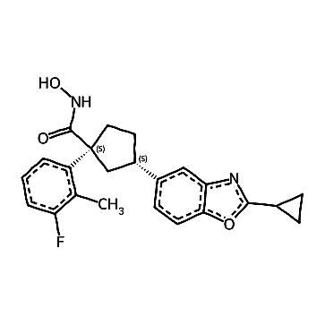 Cc1c(F)cccc1[C@]1(C(=O)NO)CC[C@H](c2ccc3oc(C4CC4)nc3c2)C1